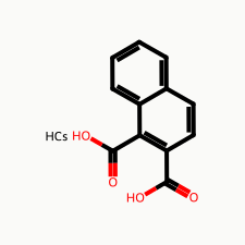 O=C(O)c1ccc2ccccc2c1C(=O)O.[CsH]